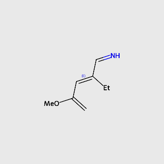 C=C(/C=C(/C=N)CC)OC